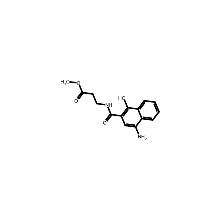 COC(=O)CCNC(=O)c1cc(N)c2ccccc2c1O